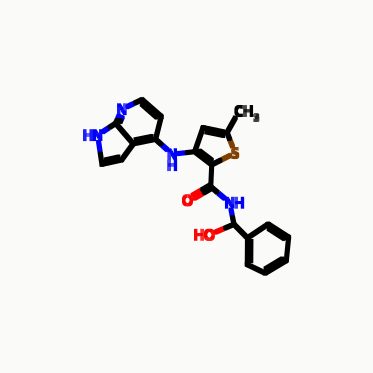 Cc1cc(Nc2ccnc3[nH]ccc23)c(C(=O)NC(O)c2ccccc2)s1